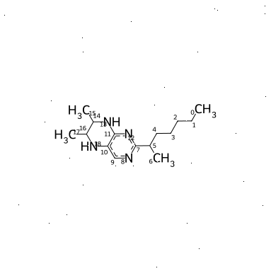 CCCCCC(C)c1ncc2c(n1)NC(C)C(C)N2